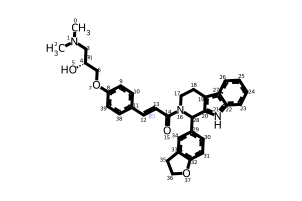 CN(C)C[C@@H](O)COc1ccc(/C=C/C(=O)N2CCc3c([nH]c4ccccc34)C2c2ccc3c(c2)CCO3)cc1